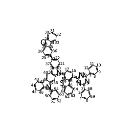 c1ccc(-c2nc(-c3ccccc3)nc(-c3ccc(-n4c5ccc(-c6ccc7oc8ccccc8c7c6)cc5c5cc6c7ccccc7n(-c7ccccc7)c6cc54)c4sc5ccccc5c34)n2)cc1